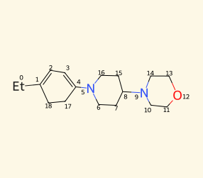 CCC1=CC=C(N2CCC(N3CCOCC3)CC2)CC1